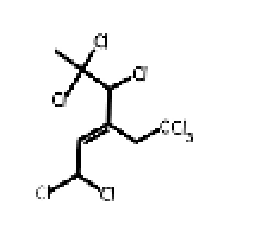 CC(Cl)(Cl)C(Cl)C(=CC(Cl)Cl)CC(Cl)(Cl)Cl